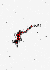 COCCOCCOCCOCCOCCOC(=O)OC(C)n1nc(Oc2c(Cl)cc(-n3nc(C#N)c(=O)[nH]c3=O)cc2Cl)cc(C(C)C)c1=O